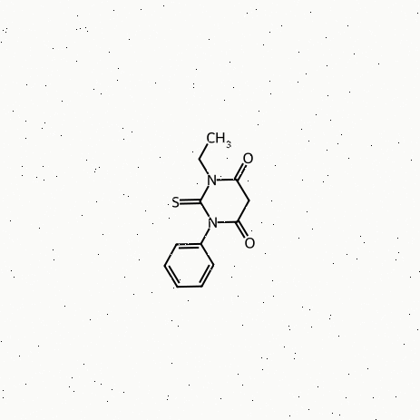 CCN1C(=O)CC(=O)N(c2ccccc2)C1=S